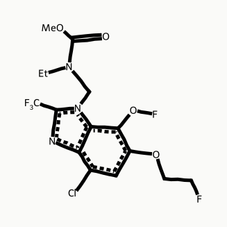 CCN(Cn1c(C(F)(F)F)nc2c(Cl)cc(OCCF)c(OF)c21)C(=O)OC